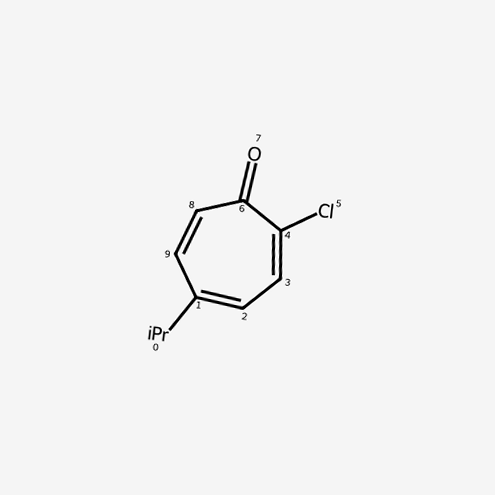 CC(C)c1ccc(Cl)c(=O)cc1